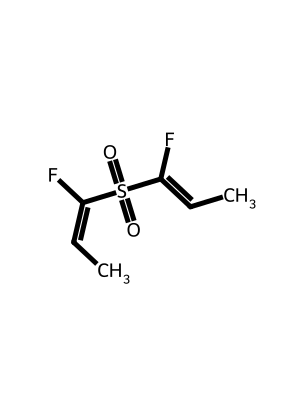 CC=C(F)S(=O)(=O)C(F)=CC